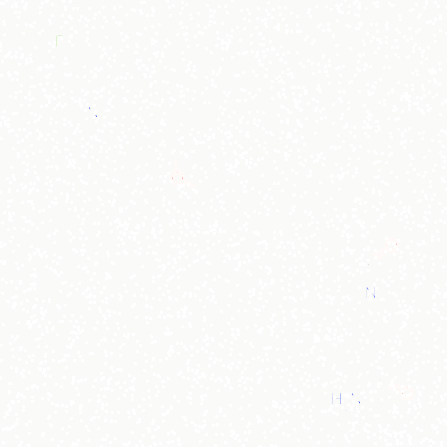 CC(C)(F)CN1CCC(COc2ccc(-c3ccc(C(=O)N4CCC(C(N)=O)CC4)cc3)c(F)c2)CC1